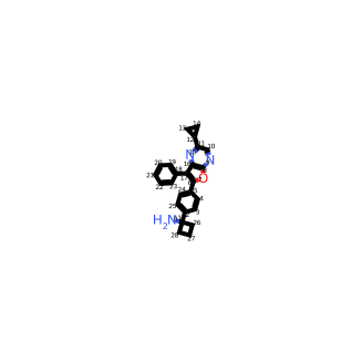 NC1(c2ccc(-c3oc4ncc(C5CC5)nc4c3-c3ccccc3)cc2)CCC1